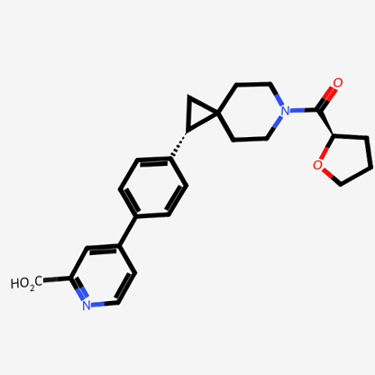 O=C(O)c1cc(-c2ccc([C@@H]3CC34CCN(C(=O)[C@H]3CCCO3)CC4)cc2)ccn1